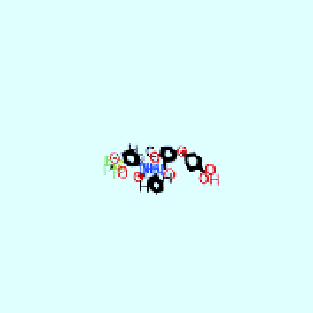 COc1ccc(OC2CCC(C(=O)O)CC2)cc1C(=O)N[C@@H]1[C@H]2CC[C@H](C2)[C@@H]1C(=O)Nc1cccc(S(=O)(=O)C(F)(F)F)c1